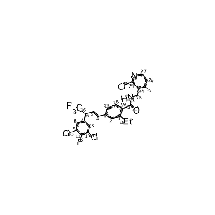 CCc1cc(/C=C/C(c2cc(Cl)c(F)c(Cl)c2)C(F)(F)F)ccc1C(=O)NCc1cccnc1Cl